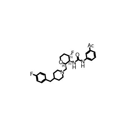 CC(=O)c1cccc(NC(=O)N[C@@H]2[C@@H](F)CCO[C@@H]2CN2CCC(Cc3ccc(F)cc3)CC2)c1